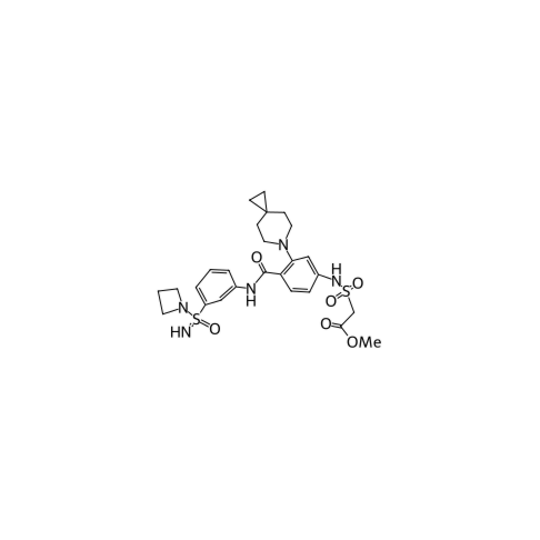 COC(=O)CS(=O)(=O)Nc1ccc(C(=O)Nc2cccc(S(=N)(=O)N3CCC3)c2)c(N2CCC3(CC2)CC3)c1